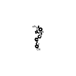 C=C(NCCC)c1ccc2nc(CN3CCC(c4cccc(CCc5ccc(C#N)cc5F)n4)CC3)n(CC3CCC3)c2c1